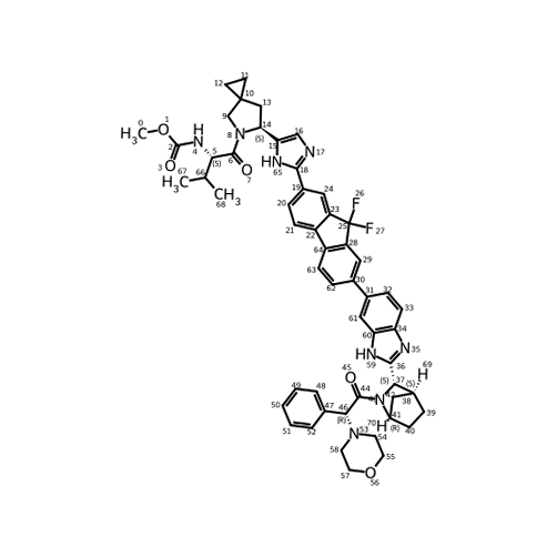 COC(=O)N[C@H](C(=O)N1CC2(CC2)C[C@H]1c1cnc(-c2ccc3c(c2)C(F)(F)c2cc(-c4ccc5nc([C@@H]6[C@H]7CC[C@H](C7)N6C(=O)[C@@H](c6ccccc6)N6CCOCC6)[nH]c5c4)ccc2-3)[nH]1)C(C)C